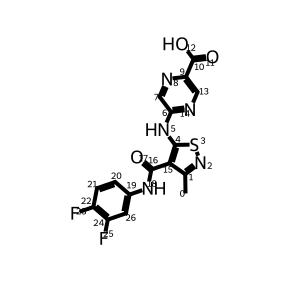 Cc1nsc(Nc2cnc(C(=O)O)cn2)c1C(=O)Nc1ccc(F)c(F)c1